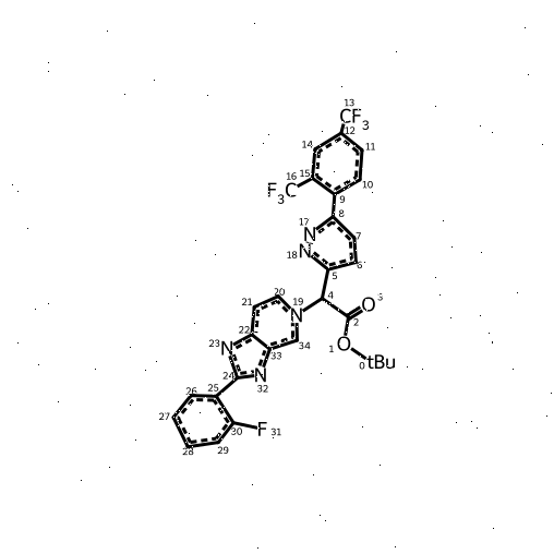 CC(C)(C)OC(=O)C(c1ccc(-c2ccc(C(F)(F)F)cc2C(F)(F)F)nn1)n1ccc2nc(-c3ccccc3F)nc-2c1